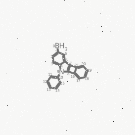 Bc1ccc2c(c1)c1c(n2-c2ccccc2)-c2ccccc2-1